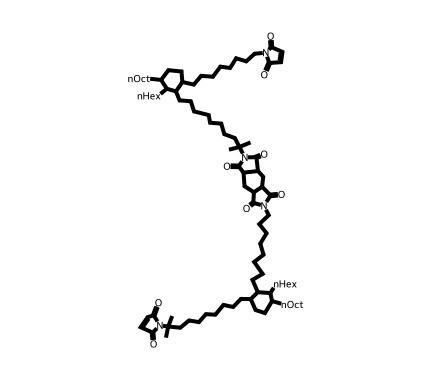 CCCCCCCCC1CCC(CCCCCCCCC(C)(C)N2C(=O)C=CC2=O)C(CCCCCCCCN2C(=O)C3CC4C(=O)N(C(C)(C)CCCCCCCCC5C(CCCCCCCCN6C(=O)C=CC6=O)CCC(CCCCCCCC)C5CCCCCC)C(=O)C4CC3C2=O)C1CCCCCC